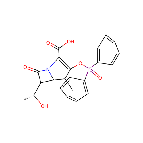 CC1C(OP(=O)(c2ccccc2)c2ccccc2)=C(C(=O)O)N2C(=O)C([C@@H](C)O)C12